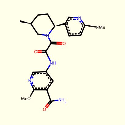 CNc1ccc([C@@H]2CC[C@H](C)CN2C(=O)C(=O)Nc2cnc(OC)c(C(N)=O)c2)cn1